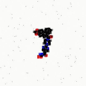 O=C(NO)c1cnc(N2CCN(C(=O)/C(=C/c3ccc4c(c3)OCO4)c3ccccc3)CC2)nc1